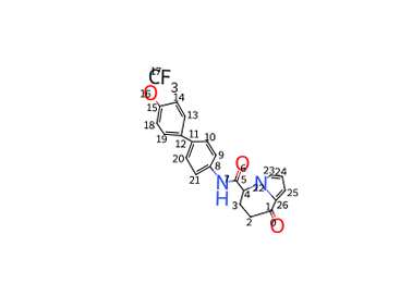 O=C1CCC(C(=O)Nc2ccc(-c3ccc(OC(F)(F)F)cc3)cc2)n2cccc21